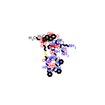 CCCC1O[C@@H]2C[C@H]3[C@@H]4CCC5=CC(=O)C=C[C@]5(C)[C@H]4C(O)C[C@]3(C)[C@]2(C(=O)COC(=O)CCCSSCC(NC(C)=O)C(=O)NCC(=O)N[C@@H](Cc2ccccc2)C(=O)N[C@@H](Cc2ccccc2)C(=O)N[C@@H](Cc2ccccc2)C(=O)NCC(=O)NCC(=O)N[C@@H](CC(=O)O)C(=O)N2CCCC2C(=O)N[C@H](C(=O)N[C@@H](CCCCN)C(=O)NCC(N)=O)C(C)C)O1